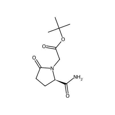 CC(C)(C)OC(=O)CN1C(=O)CC[C@@H]1C(N)=O